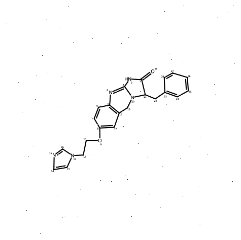 O=C1NC2=Nc3ccc(OCCn4ccnc4)cc3CN2C1Cc1ccccc1